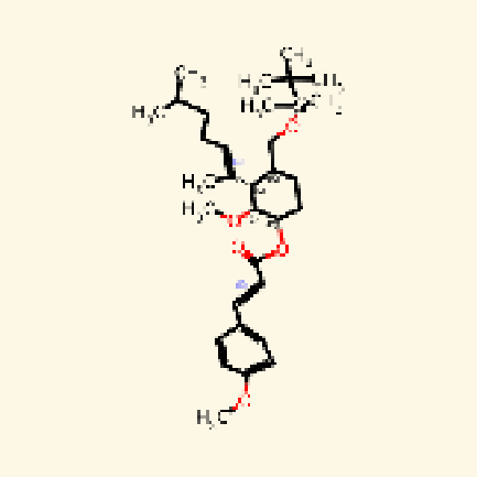 COc1ccc(/C=C/C(=O)O[C@@H]2CC[C@H](CO[Si](C)(C)C(C)(C)C)[C@@H](/C(C)=C/CCC(C)C)[C@@H]2OC)cc1